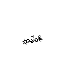 COC(=O)c1ccc(-c2ccc(-c3ccc4c(C)c(C)c(C)c(C)c4c3)[nH]2)cc1